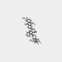 Cc1ccnc(Nc2ccc(Nc3nc4ccccc4c(N4CCC(NC(C)(C)C)CC4)c3C#N)cc2C)n1